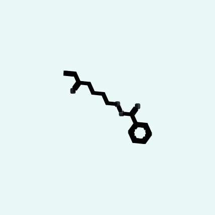 C=CC(=O)CCCCOOC(=O)c1ccccc1